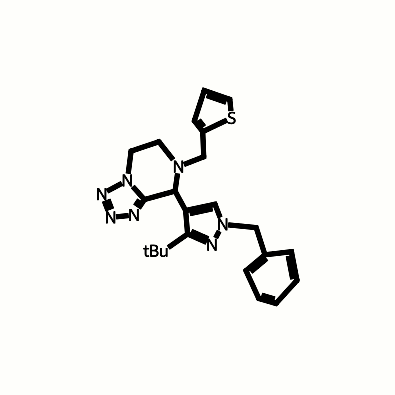 CC(C)(C)c1nn(Cc2ccccc2)cc1C1c2nnnn2CCN1Cc1cccs1